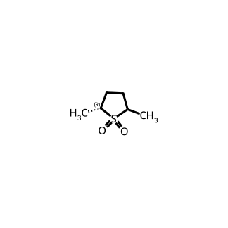 CC1CC[C@@H](C)S1(=O)=O